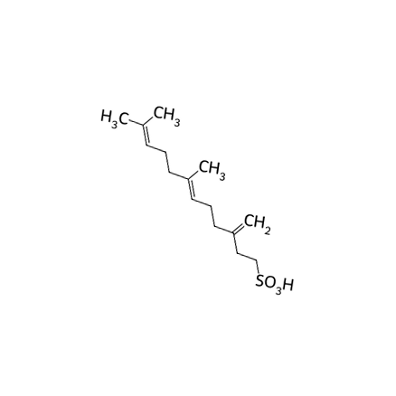 C=C(CC/C=C(\C)CCC=C(C)C)CCS(=O)(=O)O